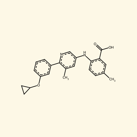 Cc1ccc(Nc2cnc(-c3cccc(OC4CC4)c3)c(C)c2)c(C(=O)O)c1